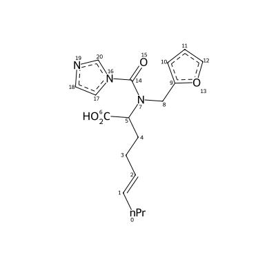 CCCC=CCCC(C(=O)O)N(Cc1ccco1)C(=O)n1ccnc1